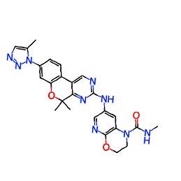 CNC(=O)N1CCOc2ncc(Nc3ncc4c(n3)C(C)(C)Oc3cc(-n5nncc5C)ccc3-4)cc21